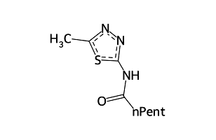 CCCCCC(=O)Nc1nnc(C)s1